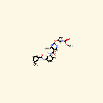 CNc1nc(O[C@H]2CCN(C(=O)OC(C)(C)C)C2)ncc1C(=O)Nc1cc(NC(=O)c2cccc(C(F)(F)F)c2)ccc1C